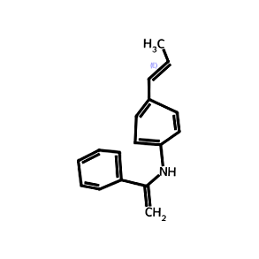 C=C(Nc1ccc(/C=C/C)cc1)c1ccccc1